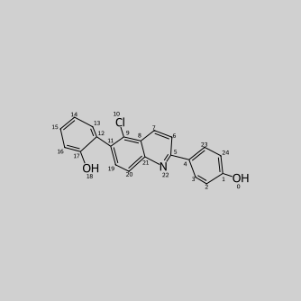 Oc1ccc(-c2ccc3c(Cl)c(-c4ccccc4O)ccc3n2)cc1